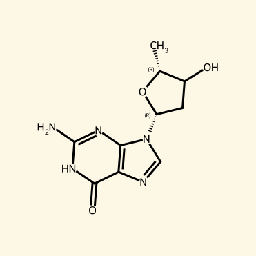 C[C@H]1O[C@@H](n2cnc3c(=O)[nH]c(N)nc32)CC1O